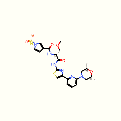 COC[C@@H](NC(=O)c1ccn([SH](=O)=O)c1)C(=O)Nc1nc(-c2cccc(N3C[C@@H](C)O[C@@H](C)C3)n2)cs1